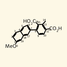 COc1ccc2ccc(-c3ccc(C(=O)O)c(C)c3C(=O)O)cc2c1